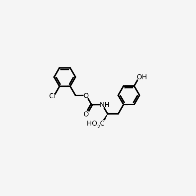 O=C(N[C@@H](Cc1ccc(O)cc1)C(=O)O)OCc1ccccc1Cl